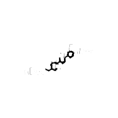 CCCCCCCCCCCCC1COC(c2ccc(-c3ccc(CCCCCCCCCC)c(F)c3)nc2)OC1